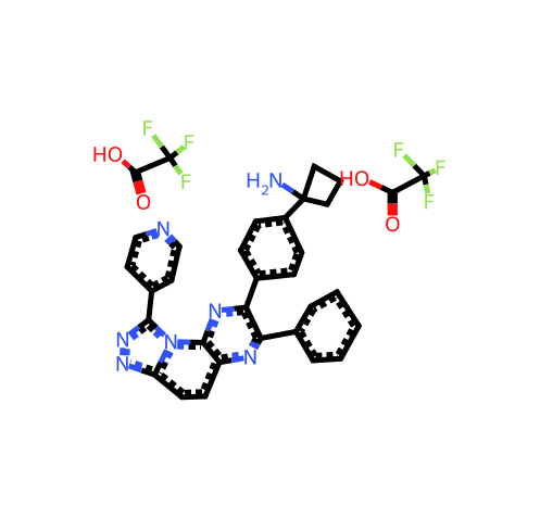 NC1(c2ccc(-c3nc4c(ccc5nnc(-c6ccncc6)n54)nc3-c3ccccc3)cc2)CCC1.O=C(O)C(F)(F)F.O=C(O)C(F)(F)F